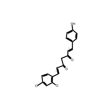 O=C(/C=C/c1ccc(O)cc1)CC(=O)/C=C/c1ccc(Cl)cc1Cl